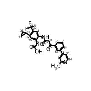 Cc1cc(-c2cccc(C(=O)CC(=O)Nc3cc(C(F)(F)F)c(C4CC4)cc3NC(=O)O)c2)ccn1